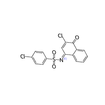 O=C1C(Cl)=C/C(=N\S(=O)(=O)c2ccc(Cl)cc2)c2ccccc21